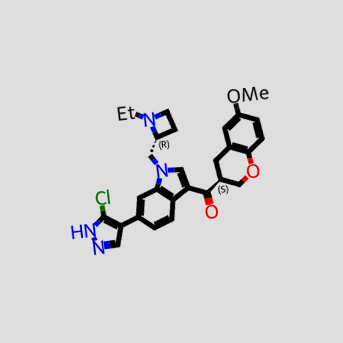 CCN1CC[C@@H]1Cn1cc(C(=O)[C@@H]2COc3ccc(OC)cc3C2)c2ccc(-c3cn[nH]c3Cl)cc21